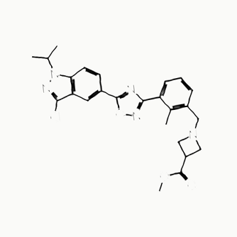 COC(=O)C1CN(Cc2cccc(-c3noc(-c4ccc5c(c4)c(Cl)nn5C(C)C)n3)c2C)C1